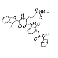 CNC(=O)C(=O)CC[C@H](NC(=O)c1oc2ccccc2c1C)C(=O)Nc1cccn(CC(=O)NC2CC3CCC2CC3)c1=O